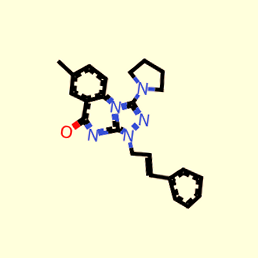 Cc1ccc2c(c1)c(=O)nc1n(CC=Cc3ccccc3)nc(N3CCCC3)n21